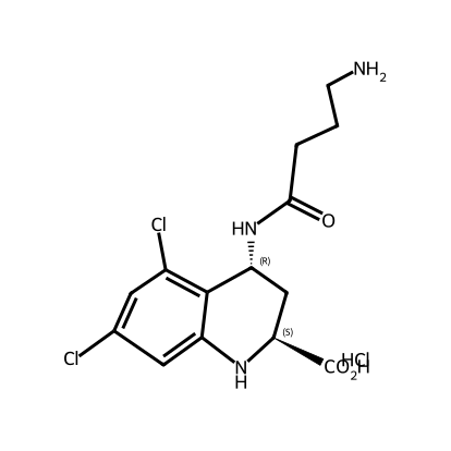 Cl.NCCCC(=O)N[C@@H]1C[C@@H](C(=O)O)Nc2cc(Cl)cc(Cl)c21